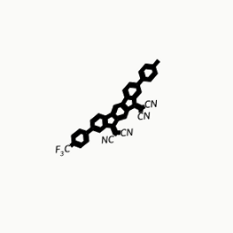 Cc1ccc(-c2ccc3c(c2)C(=C(C#N)C#N)c2cc4c(cc2-3)-c2ccc(-c3ccc(C(F)(F)F)cc3)cc2C4=C(C#N)C#N)cc1